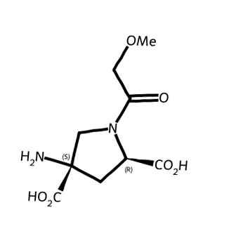 COCC(=O)N1C[C@](N)(C(=O)O)C[C@@H]1C(=O)O